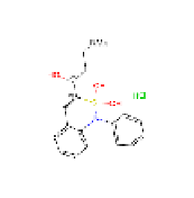 CNCC[C@@H](O)[C@@H]1Cc2ccccc2N(c2ccccc2)S1(O)O.Cl